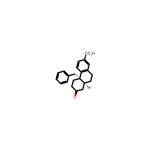 O=C1CC[C@@]2(Cc3ccccc3)c3ccc(C(=O)O)cc3CC[C@H]2C1